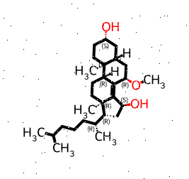 CO[C@@H]1C[C@H]2C[C@@H](O)CC[C@]2(C)[C@H]2CC[C@@]3(C)C(=C12)[C@@H](O)C[C@@H]3[C@H](C)CCCC(C)C